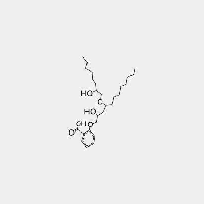 CCCCCCCCC(CC(O)COc1ccccc1C(=O)O)OCC(O)CCCCCC